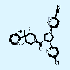 C[C@@H]1CN(C(=O)[C@@H]2CN(c3ccc(C#N)nn3)C[C@H]2c2ccc(Cl)cn2)C[C@H](C)C1(O)c1ccccn1